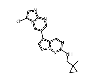 CC1(CNc2ncc3c(-c4cnc5ncc(Cl)n5c4)ccn3n2)CC1